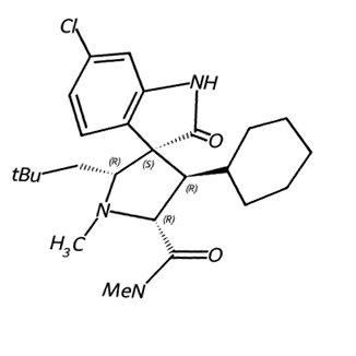 CNC(=O)[C@H]1[C@H](C2CCCCC2)[C@@]2(C(=O)Nc3cc(Cl)ccc32)[C@@H](CC(C)(C)C)N1C